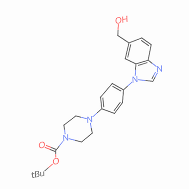 CC(C)(C)OC(=O)N1CCN(c2ccc(-n3cnc4ccc(CO)cc43)cc2)CC1